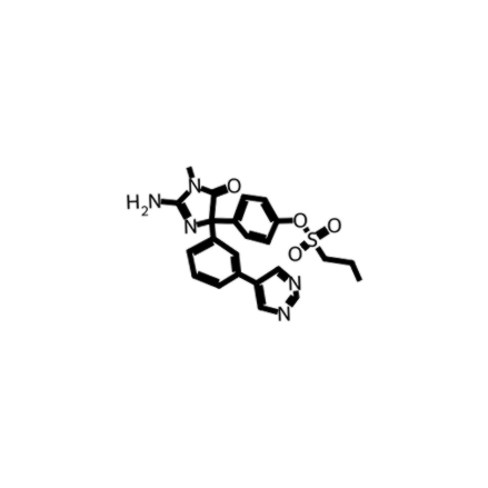 CCCS(=O)(=O)Oc1ccc(C2(c3cccc(-c4cncnc4)c3)N=C(N)N(C)C2=O)cc1